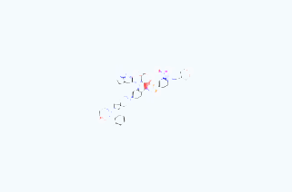 Cc1ccccc1[C@@H]1COCCCN1C1CC2(CCN(c3ccc(C(=O)NS(=O)(=O)c4ccc(NCC5CCOCC5)c([N+](=O)[O-])c4)c(N4c5cc6cc[nH]c6nc5O[C@H]5COCC[C@@H]54)c3)CC2)C1